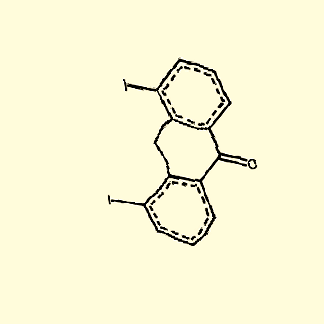 O=C1c2cccc(I)c2Cc2c(I)cccc21